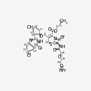 C=CCOC(=O)C1=C(COc2ccc(Cl)cc2-c2nc3ccc(Cl)cc3c(=O)[nH]2)CSC2[C@H](NC(=O)COCCOCCC)C(=O)N12